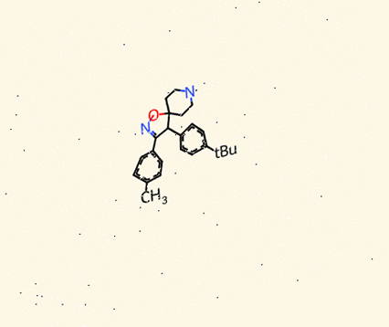 Cc1ccc(C2=NOC3(CC[N]CC3)C2c2ccc(C(C)(C)C)cc2)cc1